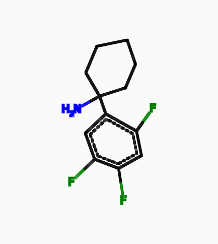 NC1(c2cc(F)c(F)cc2F)CCCCC1